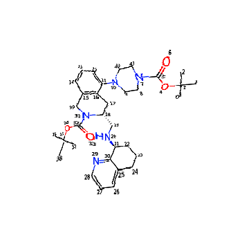 CC(C)(C)OC(=O)N1CCN(c2cccc3c2C[C@H](CN[C@H]2CCCc4cccnc42)N(C(=O)OC(C)(C)C)C3)CC1